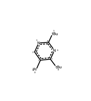 CC(C)c1cnc(C(C)(C)C)nc1C(C)(C)C